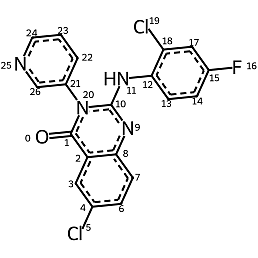 O=c1c2cc(Cl)ccc2nc(Nc2ccc(F)cc2Cl)n1-c1cccnc1